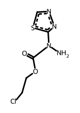 NN(C(=O)OCCCl)c1nncs1